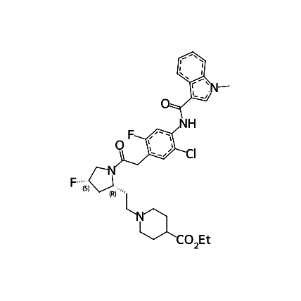 CCOC(=O)C1CCN(CC[C@@H]2C[C@H](F)CN2C(=O)Cc2cc(Cl)c(NC(=O)c3cn(C)c4ccccc34)cc2F)CC1